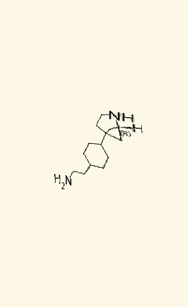 NCCC1CCC(C23CCN[C@@H]2C3)CC1